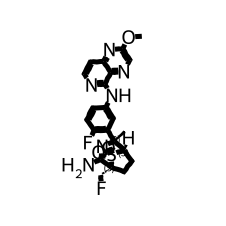 COc1cnc2c(Nc3ccc(F)c([C@@]4(C)N=C(N)[C@]5(CF)CC[C@@H]4S5(=O)=O)c3)nccc2n1